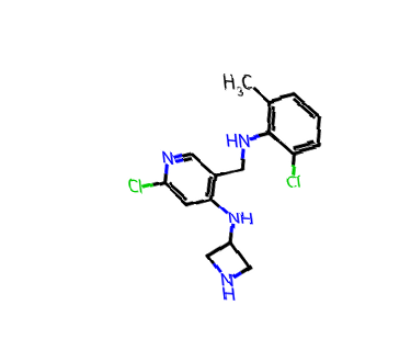 Cc1cccc(Cl)c1NCc1cnc(Cl)cc1NC1CNC1